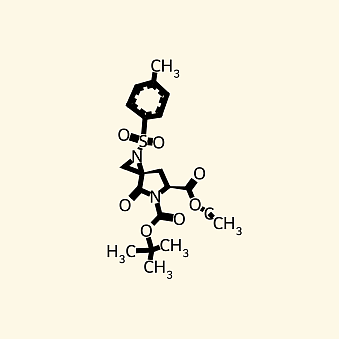 CCOC(=O)[C@@H]1C[C@]2(CN2S(=O)(=O)c2ccc(C)cc2)C(=O)N1C(=O)OC(C)(C)C